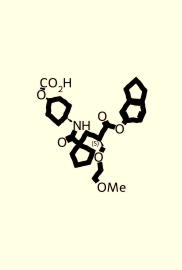 COCCOC[C@H](CC1(C(=O)N[C@H]2CC[C@@H](OC(=O)O)CC2)CCCC1)C(=O)Oc1ccc2c(c1)CCC2